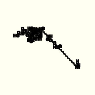 CN[C@@H](CO)C(=O)N[C@@H](CO)C(=O)N[C@@H](CCCCN(CC(=O)O)CC(=O)O)C(=O)N[C@@H](CO)C(=O)N[C@@H](CO)C(=O)N[C@@H](CCCCNC(=O)COCCOCCNC(=O)CCCCCCCCCCCCCCCc1nnn[nH]1)C(N)=O